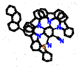 N#Cc1c(C#N)c(-n2c3ccc(-c4cccc5c4ccc4ccccc45)cc3c3ccc4c5ccccc5sc4c32)c(-n2c3ccccc3c3ccccc32)c(-n2c3ccccc3c3ccccc32)c1-n1c2ccccc2c2ccccc21